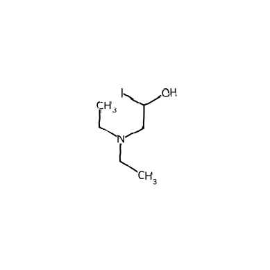 CCN(CC)CC(O)I